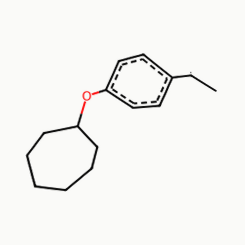 C[CH]c1ccc(OC2CCCCCC2)cc1